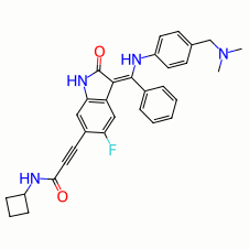 CN(C)Cc1ccc(N/C(=C2\C(=O)Nc3cc(C#CC(=O)NC4CCC4)c(F)cc32)c2ccccc2)cc1